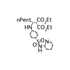 CCCCCC(Nc1ccc(S(=O)(=O)Nc2ccccn2)cc1)C(C(=O)OCC)C(=O)OCC